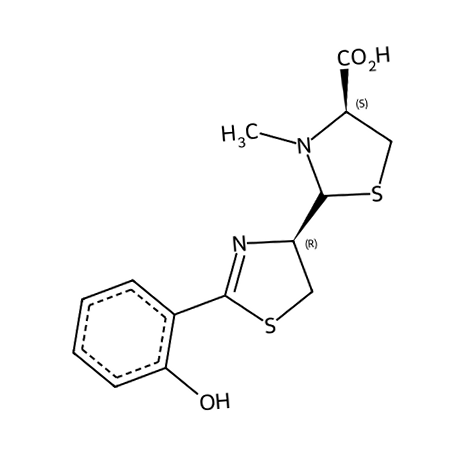 CN1C([C@H]2CSC(c3ccccc3O)=N2)SC[C@@H]1C(=O)O